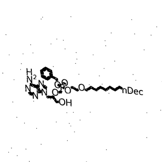 CCCCCCCCCCCCCCCCCCOCCOP(=O)(COC(CO)Cn1cnc2c(N)ncnc21)OCc1ccccc1